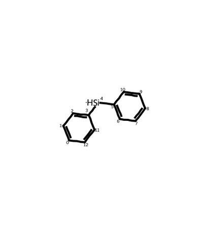 c1ccc([SiH]c2ccccc2)cc1